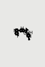 C#Cc1ccc(NC(=O)C2([C@H]3CC4CC(c5ccnc6ccc(F)cc56)C[C@@H]4C3)CC2)cn1